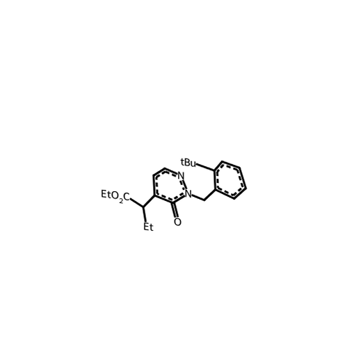 CCOC(=O)C(CC)c1ccnn(Cc2ccccc2C(C)(C)C)c1=O